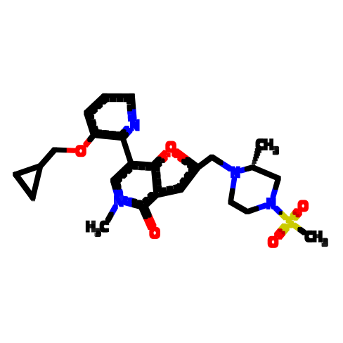 C[C@@H]1CN(S(C)(=O)=O)CCN1Cc1cc2c(=O)n(C)cc(-c3ncccc3OCC3CC3)c2o1